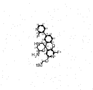 CC(C)(C)COc1cc2c(c(F)n1)Oc1ccc(-c3cccnc3F)cc1C21CNC[C@H](N)O1